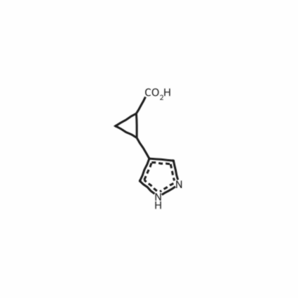 O=C(O)C1CC1c1cn[nH]c1